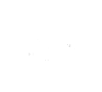 Cl.N[C@H]1CCOC1=O